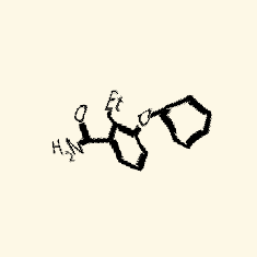 CCc1c(Oc2ccccc2)cccc1C(N)=O